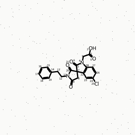 O=C(O)CN1C(=O)C2(CC(=O)N(CCc3ccccc3)C2=O)c2cc(Cl)ccc21